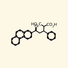 O=C(CC(c1ccccc1)C(C(=O)O)C(=O)O)c1ccc2c(ccc3ccccc32)c1